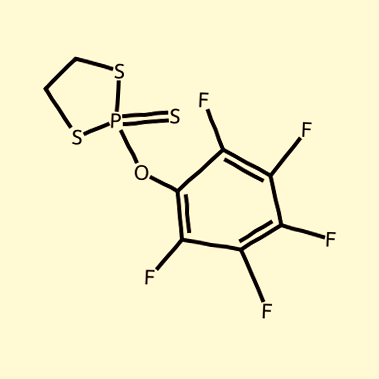 Fc1c(F)c(F)c(OP2(=S)SCCS2)c(F)c1F